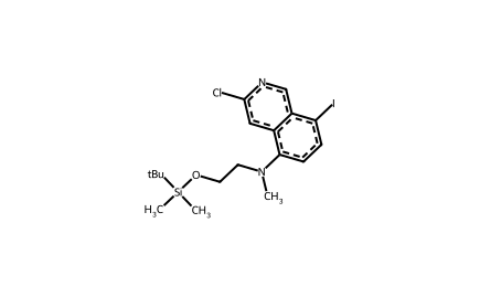 CN(CCO[Si](C)(C)C(C)(C)C)c1ccc(I)c2cnc(Cl)cc12